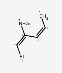 C/C=C\C(=C/CC)NC(C)=O